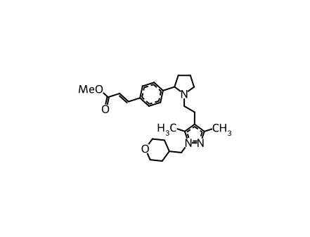 COC(=O)C=Cc1ccc(C2CCCN2CCc2c(C)nn(CC3CCOCC3)c2C)cc1